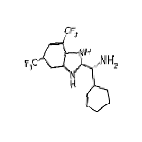 N[C@H](C1CCCCC1)C1NC2CC(C(F)(F)F)CC(C(F)(F)F)C2N1